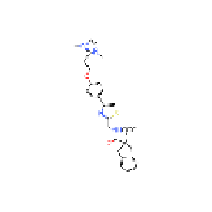 Cn1cc[n+](C)c1CCOc1ccc(-c2csc(CNC(=O)C3(CC(=O)[O-])Cc4ccccc4C3)n2)cc1